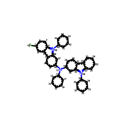 Fc1ccc2c(c1)c1ccc(N(c3ccccc3)c3ccc4c5ccccc5n(-c5ccccc5)c4c3)cc1n2-c1ccccc1